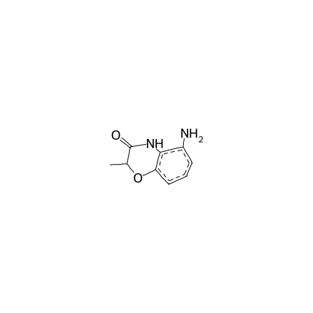 CC1Oc2cccc(N)c2NC1=O